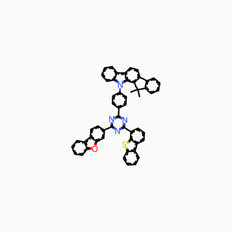 CC1(C)c2ccccc2-c2ccc3c4ccccc4n(-c4ccc(-c5nc(-c6ccc7c(c6)oc6ccccc67)nc(-c6cccc7c6sc6ccccc67)n5)cc4)c3c21